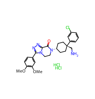 COc1ccc(-c2nnc3n2CCN([C@H]2CC[C@@](CN)(c4cccc(Cl)c4)CC2)C3=O)cc1OC.Cl.Cl